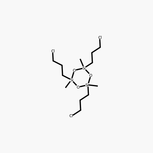 C[Si]1(CCCCl)O[Si](C)(CCCCl)O[Si](C)(CCCCl)O1